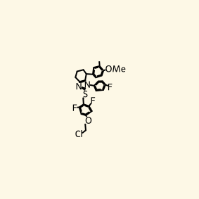 COc1ccc(C2CCCc3nc(SCc4c(F)cc(OCCCl)cc4F)n(-c4ccc(F)cc4)c32)cc1C